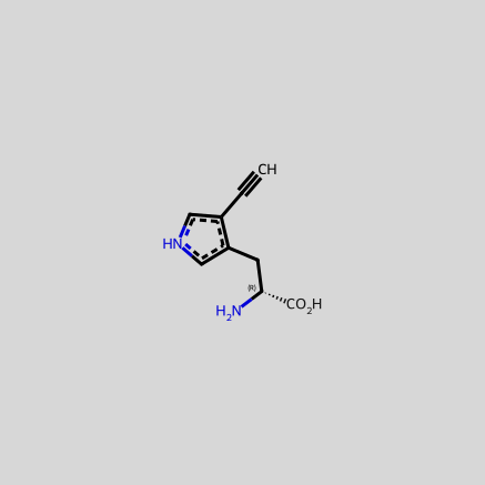 C#Cc1c[nH]cc1C[C@@H](N)C(=O)O